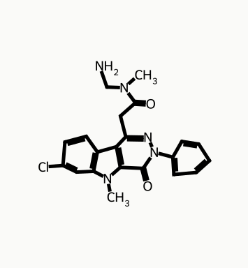 CN(CN)C(=O)Cc1nn(-c2ccccc2)c(=O)c2c1c1ccc(Cl)cc1n2C